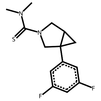 CN(C)C(=S)N1CC2CC2(c2cc(F)cc(F)c2)C1